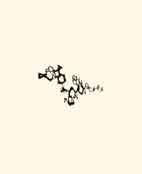 COc1ncc(-c2cc([C@H]3C[C@@H]3c3ccc4c(c3)N(CC3(F)CC3)C(=O)C43CC3)c3nccn3n2)c(OC)n1